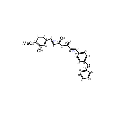 COc1ccc(/C=C/C(=O)CC(=O)/C=C/c2ccc(Oc3ccccc3)cc2)cc1O